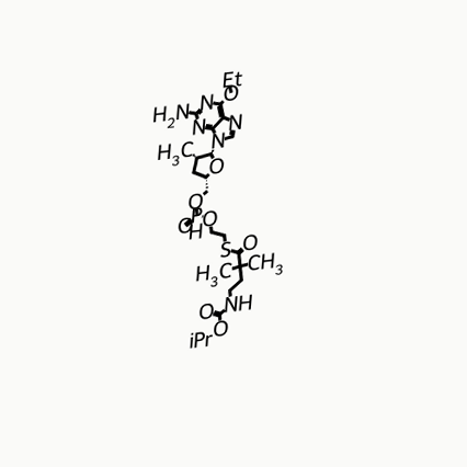 CCOc1nc(N)nc2c1ncn2[C@@H]1O[C@H](CO[PH](=O)OCCSC(=O)C(C)(C)CCNC(=O)OC(C)C)C[C@@H]1C